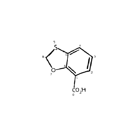 O=C(O)c1cccc2c1OCS2